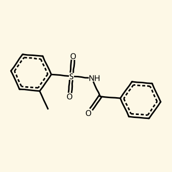 Cc1ccccc1S(=O)(=O)NC(=O)c1ccccc1